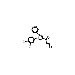 CCC=CC(=O)C1=CN(c2ccccc2)N(c2ccc(Cl)c(Cl)c2)C1